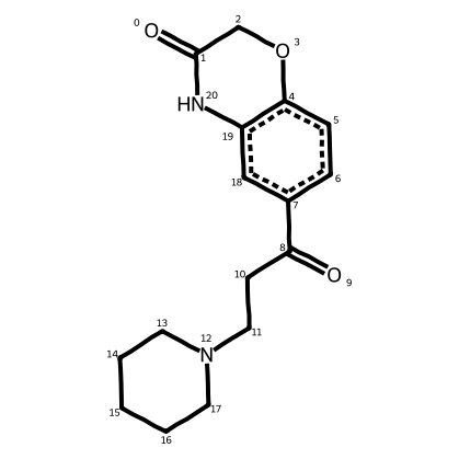 O=C1COc2ccc(C(=O)CCN3CCCCC3)cc2N1